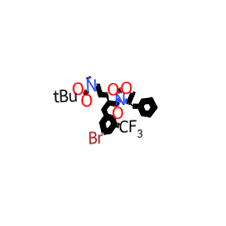 CN(CCC[C@H](Cc1cc(Br)cc(C(F)(F)F)c1)C(=O)N1C(=O)OC[C@@H]1Cc1ccccc1)C(=O)OC(C)(C)C